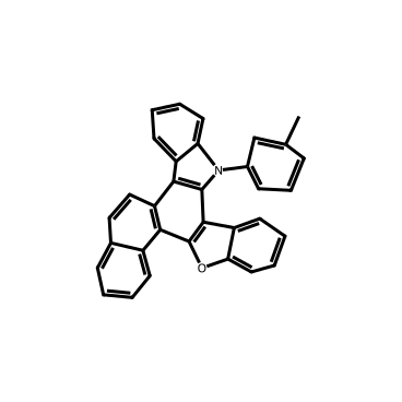 Cc1cccc(-n2c3ccccc3c3c4ccc5ccccc5c4c4oc5ccccc5c4c32)c1